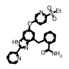 CCS(=O)(=O)c1ccc(Oc2cc(Cc3ccccc3C(N)=O)c3nc(-c4ccccn4)[nH]c3c2)cn1